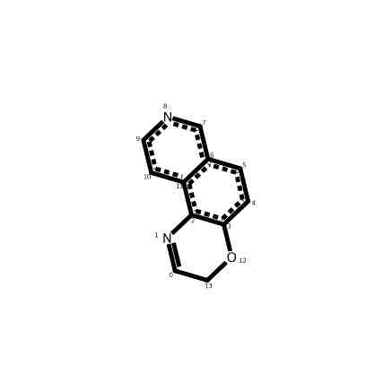 C1=Nc2c(ccc3cnccc23)OC1